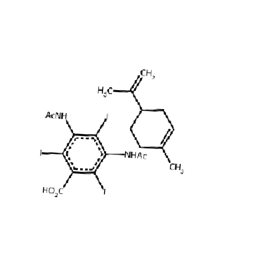 C=C(C)C1CC=C(C)CC1.CC(=O)Nc1c(I)c(NC(C)=O)c(I)c(C(=O)O)c1I